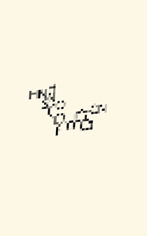 N#Cc1ccc(Oc2ccc(C=C3SC(=N)NC3=O)cc2F)c2ccccc12